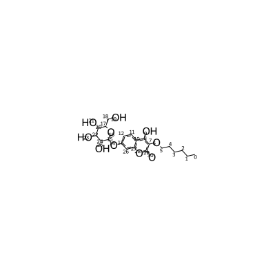 CCCCCCOc1c(O)c2ccc(O[C@@H]3O[C@H](CO)[C@H](O)[C@H](O)[C@H]3O)cc2oc1=O